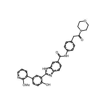 COc1ncccc1-c1ccc(O)c(-c2nc3ccc(C(=O)Nc4ccc(CC(=O)N5CCOCC5)cc4)cc3[nH]2)c1